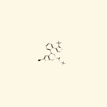 CC(C)(C)OC(=O)N1Cc2sc(C#N)cc2C(c2ccccc2-c2c[nH]nc2C(F)(F)F)C1